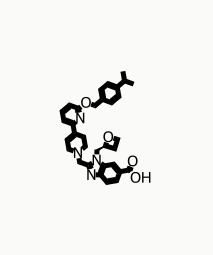 CC(C)c1ccc(COc2cccc(C3=CCN(Cc4nc5ccc(C(=O)O)cc5n4C[C@@H]4CCO4)CC3)n2)cc1